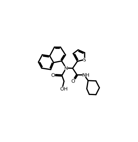 O=C(NC1CCCCC1)C(c1cccs1)N(C(=O)CO)c1cccc2ccccc12